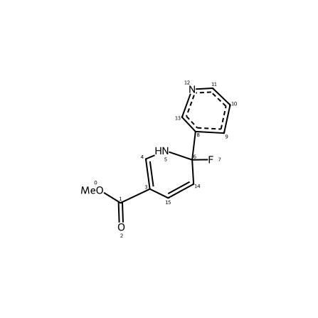 COC(=O)C1=CNC(F)(c2cccnc2)C=C1